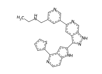 CCNCc1cncc(-c2cc3c(-c4cc5c(-c6cccs6)nccc5[nH]4)n[nH]c3cn2)c1